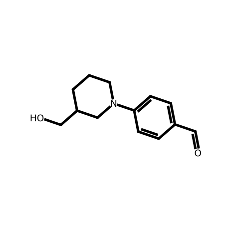 O=Cc1ccc(N2CCCC(CO)C2)cc1